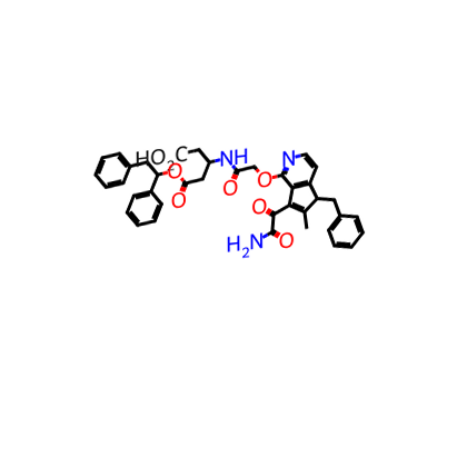 CC1=C(C(=O)C(N)=O)c2c(ccnc2OCC(=O)NC(CC(=O)O)CC(=O)OC(Cc2ccccc2)c2ccccc2)C1Cc1ccccc1